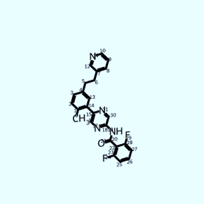 Cc1ccc(CCc2cccnc2)cc1-c1cnc(NC(=O)c2c(F)cccc2F)cn1